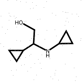 OCC(NC1CC1)C1CC1